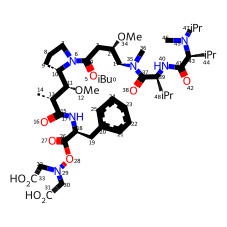 CC[C@H](C)[C@@H]([C@@H](CC(=O)N1CCC[C@H]1[C@H](OC)[C@@H](C)C(=O)N[C@@H](Cc1ccccc1)C(=O)ON(CC(=O)O)CC(=O)O)OC)N(C)C(=O)[C@@H](NC(=O)[C@H](C(C)C)N(C)C(C)C)C(C)C